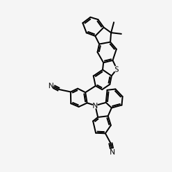 CC1(C)c2ccccc2-c2cc3c(cc21)sc1ccc(-c2cc(C#N)ccc2-n2c4ccccc4c4cc(C#N)ccc42)cc13